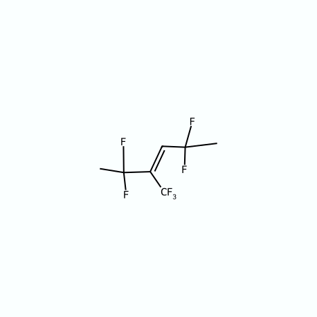 CC(F)(F)C=C(C(C)(F)F)C(F)(F)F